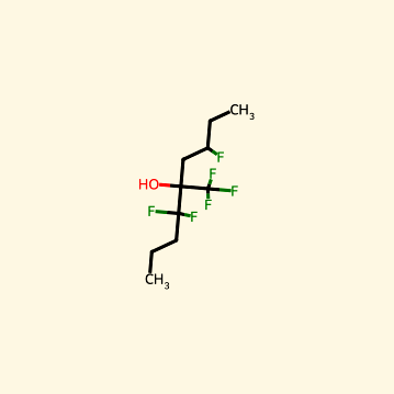 CCCC(F)(F)C(O)(CC(F)CC)C(F)(F)F